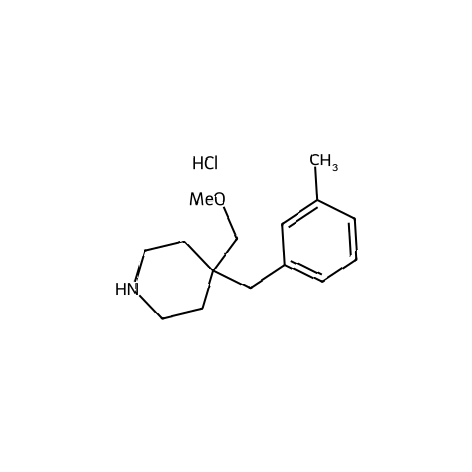 COCC1(Cc2cccc(C)c2)CCNCC1.Cl